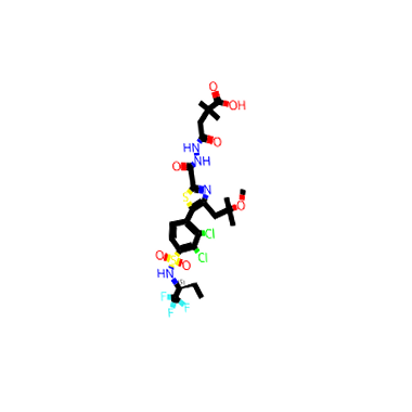 CC[C@H](NS(=O)(=O)c1ccc(-c2sc(C(=O)NNC(=O)CC(C)(C)C(=O)O)nc2CC(C)(C)OC)c(Cl)c1Cl)C(F)(F)F